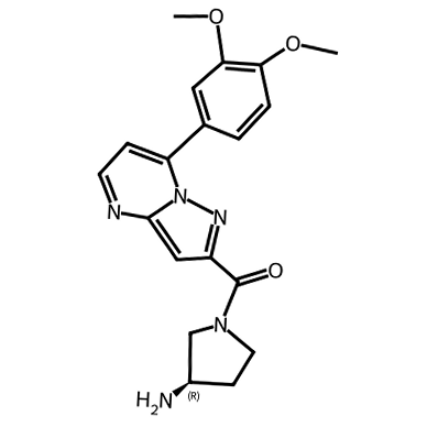 COc1ccc(-c2ccnc3cc(C(=O)N4CC[C@@H](N)C4)nn23)cc1OC